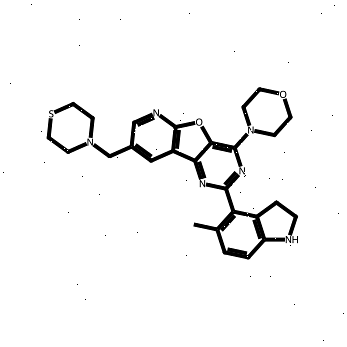 Cc1ccc2c(c1-c1nc(N3CCOCC3)c3oc4ncc(CN5CCSCC5)cc4c3n1)CCN2